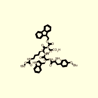 CC(C)[C@@H](C(=O)O)N(C(=O)OCC1c2ccccc2-c2ccccc21)C(=O)[C@H](CCCCNC(=O)OC(C)(C)C)NC(=O)[C@@H](Cc1c[nH]c2ccccc12)NC(=O)[C@@H](N)Cc1ccc(OC(C)(C)C)cc1